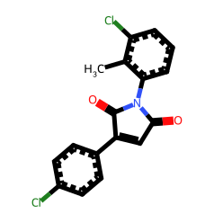 Cc1c(Cl)cccc1N1C(=O)C=C(c2ccc(Cl)cc2)C1=O